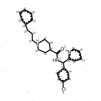 O=C(NC(c1ccc(Cl)cc1)c1ccccn1)C1CCN(CCCc2ccccc2)CC1